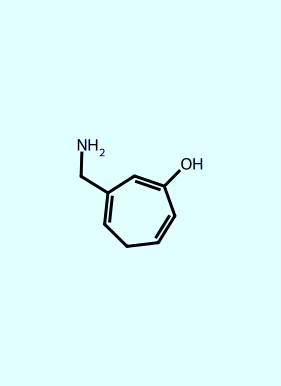 NCC1=CCC=CC(O)=C1